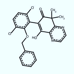 CC1(C)C(=O)C(c2c(Cl)ccc(Cl)c2OCc2ccccc2)=C(O)c2nccnc21